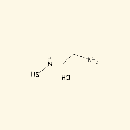 Cl.NCCNS